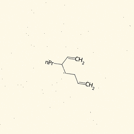 C=CC[CH]C(C=C)CCC